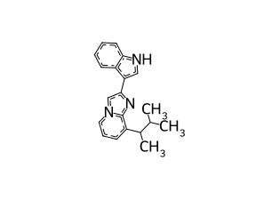 CC(C)C(C)c1cccn2cc(-c3c[nH]c4ccccc34)nc12